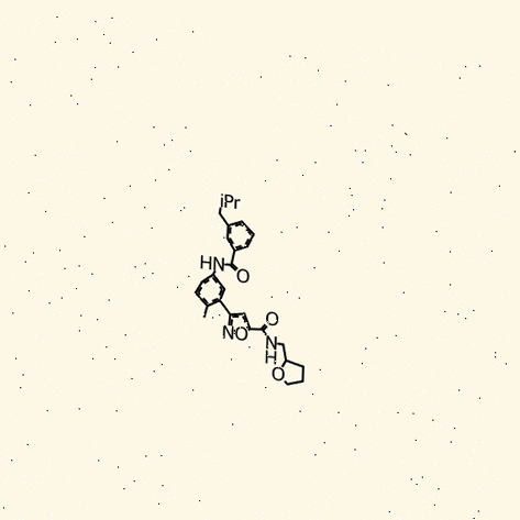 Cc1ccc(NC(=O)c2cccc(CC(C)C)c2)cc1-c1cc(C(=O)NCC2CCCO2)on1